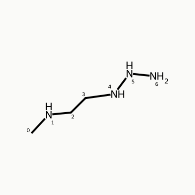 CNCCNNN